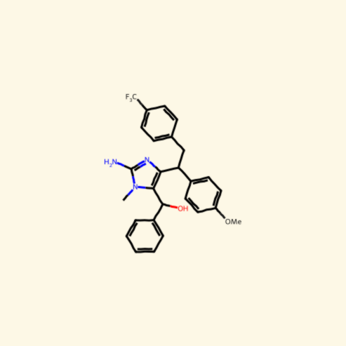 COc1ccc(C(Cc2ccc(C(F)(F)F)cc2)c2nc(N)n(C)c2C(O)c2ccccc2)cc1